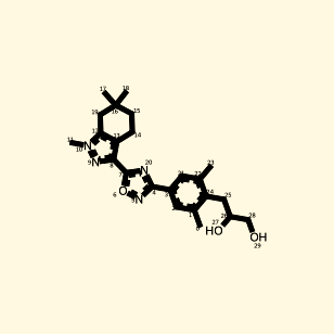 Cc1cc(-c2noc(-c3nn(C)c4c3CCC(C)(C)C4)n2)cc(C)c1CC(O)CO